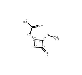 CO[C@@H]1C(=O)N[C@@H]1OC(C)=O